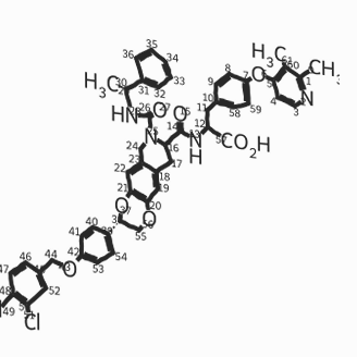 Cc1nccc(Oc2ccc(CC(NC(=O)C3Cc4cc5c(cc4CN3C(=O)N[C@H](C)c3ccccc3)O[C@@H](c3ccc(OCc4ccc(Cl)c(Cl)c4)cc3)CO5)C(=O)O)cc2)c1C